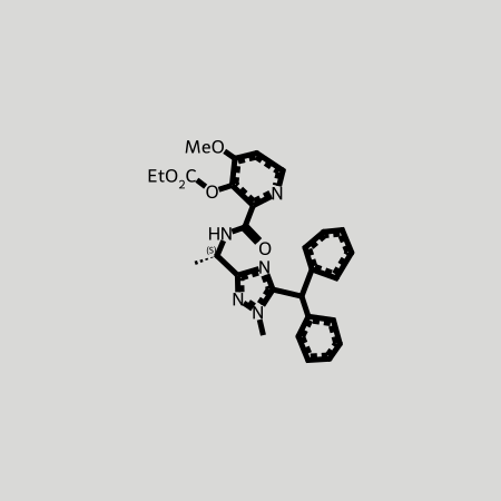 CCOC(=O)Oc1c(OC)ccnc1C(=O)N[C@@H](C)c1nc(C(c2ccccc2)c2ccccc2)n(C)n1